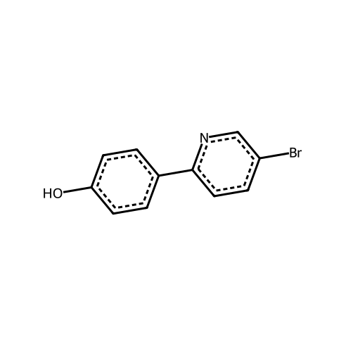 Oc1ccc(-c2ccc(Br)cn2)cc1